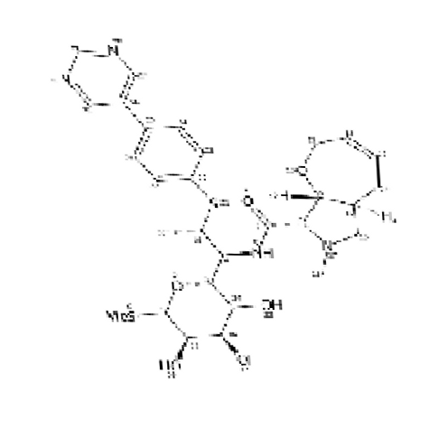 CSC1O[C@H]([C@H](NC(=O)[C@@H]2[C@@H]3OCC=CC[C@H]3CN2C)[C@H](C)Sc2ccc(-c3cncnc3)cc2)C(O)[C@@H](O)[C@H]1O